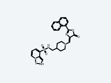 O=C1OC(c2cccc3ccccc23)=NC1=CN1CCC(CNS(=O)(=O)C2=CC=CN3SNC=C23)CC1